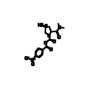 CN(C)C(=O)C1C[C@H](S)CN1C(=O)OC(=O)c1ccc([N+](=O)[O-])cc1